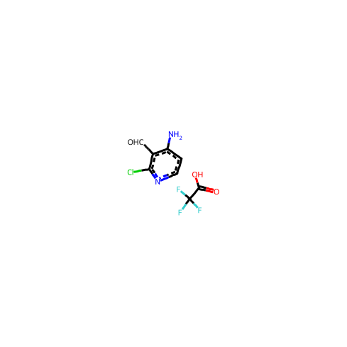 Nc1ccnc(Cl)c1C=O.O=C(O)C(F)(F)F